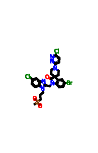 CS(=O)(=O)CCCn1c(CN2C(=O)C3(CCN(c4ccc(Cl)nn4)CC3)c3cc(Br)ccc32)nc2cc(Cl)ccc21